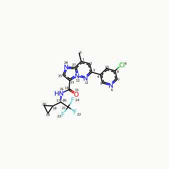 Cc1cc(-c2cncc(Cl)c2)nn2c(C(=O)N[C@H](C3CC3)C(F)(F)F)cnc12